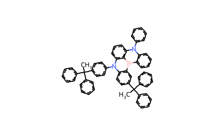 CC(c1ccccc1)(c1ccccc1)c1ccc(N2c3ccc(C(C)(c4ccccc4)c4ccccc4)cc3B3c4ccccc4N(c4ccccc4)c4cccc2c43)cc1